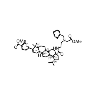 C=C(C)[C@@H]1CC[C@]2(C(=O)NCCN(CC(=O)OC)Cc3ccccc3)CC[C@]3(C)[C@H](CC[C@@H]4[C@@]5(C)CC=C(c6ccc(C(=O)OC)cc6)C(C)(C)[C@@H]5CC[C@]43C)[C@@H]12